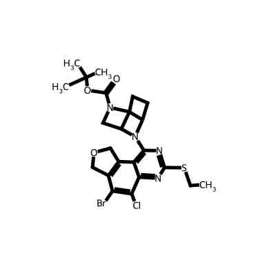 CCSc1nc(N2C3CCC34C2CN4C(=O)OC(C)(C)C)c2c3c(c(Br)c(Cl)c2n1)COC3